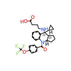 O=C(O)CCCN[C@]1(C2CC2)c2ccccc2N(C(=O)c2ccc(OC(F)(F)F)cc2)[C@@H]2CCC[C@@H]21